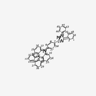 c1ccc(-c2nc(-c3ccc(N4c5ccccc5S(c5ccccc5)(c5ccccc5)c5ccccc54)cc3)nn2-c2ccccc2)cc1